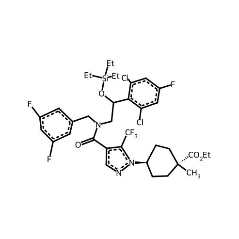 CCOC(=O)[C@]1(C)CC[C@@H](n2ncc(C(=O)N(Cc3cc(F)cc(F)c3)CC(O[Si](CC)(CC)CC)c3c(Cl)cc(F)cc3Cl)c2C(F)(F)F)CC1